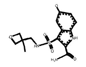 CC1(CNS(=O)(=O)c2c(C(N)=O)[nH]c3ccc(Cl)cc23)COC1